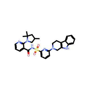 CC1CN(c2ncccc2C(=O)NS(=O)(=O)c2cccc(N3CCc4c([nH]c5ccccc45)C3)n2)C(C)(C)C1